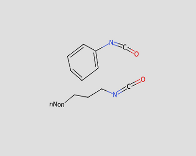 CCCCCCCCCCCCN=C=O.O=C=Nc1ccccc1